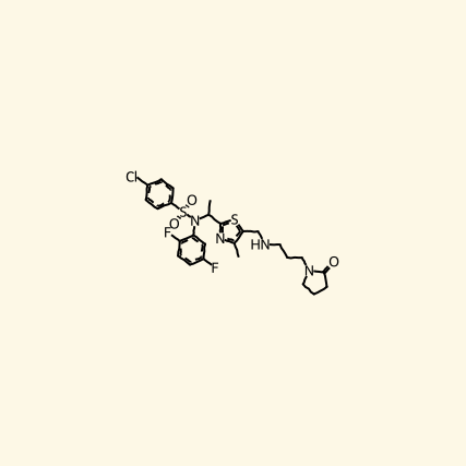 Cc1nc(C(C)N(c2cc(F)ccc2F)S(=O)(=O)c2ccc(Cl)cc2)sc1CNCCCN1CCCC1=O